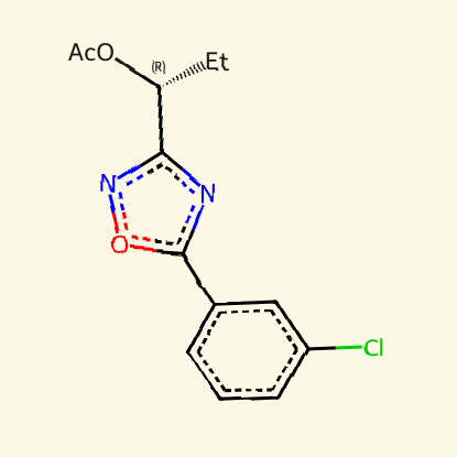 CC[C@@H](OC(C)=O)c1noc(-c2cccc(Cl)c2)n1